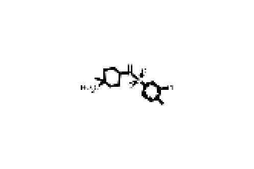 Cc1ccc(S(=O)(=O)NC2CCC(C)(C(=O)O)CC2)cc1Cl